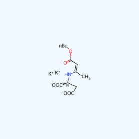 CCCCOC(=O)C=C(C)N[C@@H](CC(=O)[O-])C(=O)[O-].[K+].[K+]